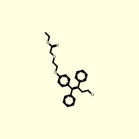 CCOC(=O)COCCOc1ccc(C(=C(CCCl)c2ccccc2)c2ccccc2)cc1